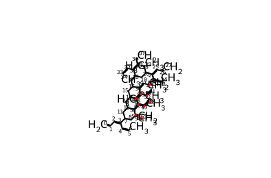 C=C/C=C(\C=C/C)C(CCC)CC(CC(CC(CC(CC(C(/C=C\C)=C/C=C)C(C)C)C(/C=C\C)=C/C=C)C(/C=C\C)=C/C=C)C(/C=C\C)=C/C=C\C)/C(C=C)=C/C=C\C